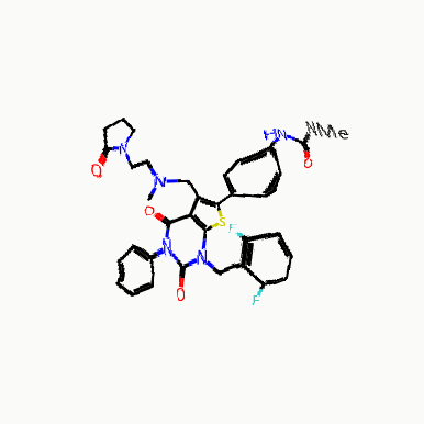 CNC(=O)Nc1ccc(-c2sc3c(c2CN(C)CCN2CCCC2=O)c(=O)n(-c2ccccc2)c(=O)n3Cc2c(F)cccc2F)cc1